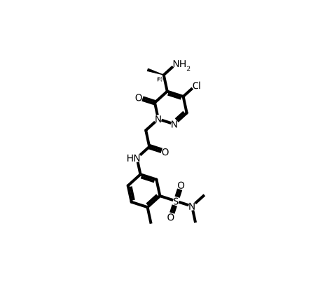 Cc1ccc(NC(=O)Cn2ncc(Cl)c([C@@H](C)N)c2=O)cc1S(=O)(=O)N(C)C